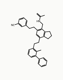 C=C(C)NCc1c(CCc2cccc(C#N)c2)cc(CCc2cccc(-c3ccccc3)c2C)c2c1CCC2